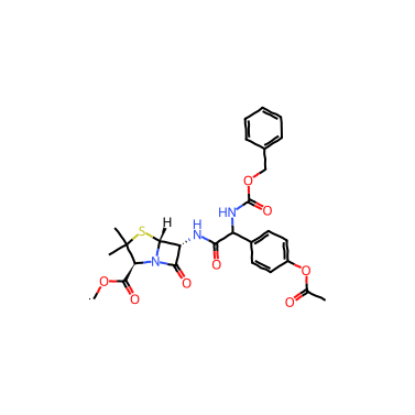 [CH2]OC(=O)[C@@H]1N2C(=O)[C@@H](NC(=O)C(NC(=O)OCc3ccccc3)c3ccc(OC(C)=O)cc3)[C@H]2SC1(C)C